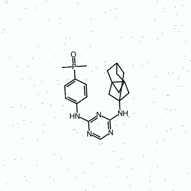 CP(C)(=O)c1ccc(Nc2ncnc(NC34CC5CC6(C3)CC6(C5)C4)n2)cc1